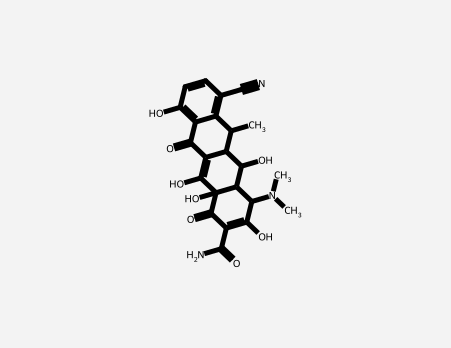 CC1c2c(C#N)ccc(O)c2C(=O)C2=C(O)C3(O)C(=O)C(C(N)=O)=C(O)C(N(C)C)C3C(O)C21